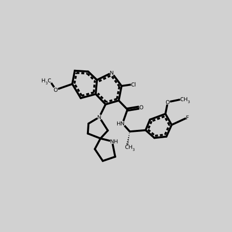 COc1ccc2nc(Cl)c(C(=O)N[C@@H](C)c3ccc(F)c(OC)c3)c(N3CCC4(CCCN4)C3)c2c1